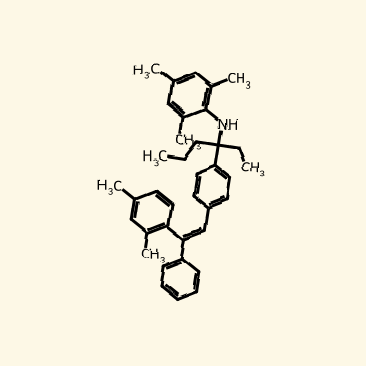 CCCC(CC)(Nc1c(C)cc(C)cc1C)c1ccc(C=C(c2ccccc2)c2ccc(C)cc2C)cc1